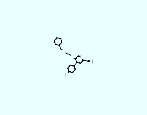 N#Cc1cc(-c2ccc(F)cc2)c(OCCOCc2ccccc2)cn1